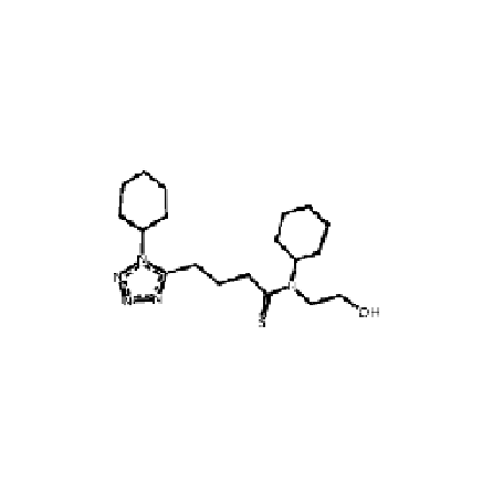 OCCN(C(=S)CCCc1nnnn1C1CCCCC1)C1CCCCC1